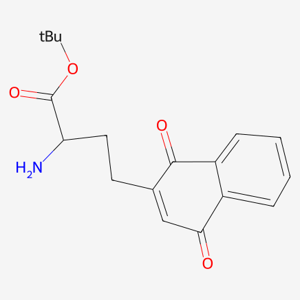 CC(C)(C)OC(=O)C(N)CCC1=CC(=O)c2ccccc2C1=O